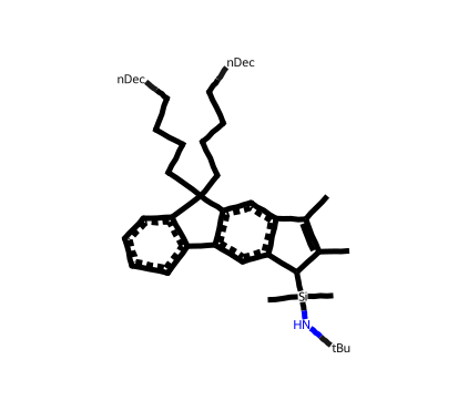 CCCCCCCCCCCCCCC1(CCCCCCCCCCCCCC)c2ccccc2-c2cc3c(cc21)C(C)=C(C)C3[Si](C)(C)NC(C)(C)C